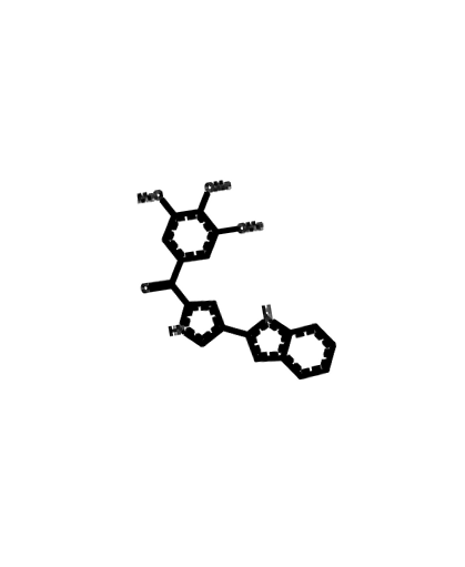 COc1cc(C(=O)c2cc(-c3cc4ccccc4[nH]3)c[nH]2)cc(OC)c1OC